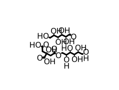 O=C(O)CC(O)(CC(=O)OC[C@H](O)[C@@H](O)[C@H](O)[C@H](O)CO)C(=O)O.O=C[C@H](O)[C@@H](O)[C@H](O)[C@H](O)CO